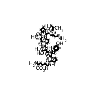 C[C@H](N)C(=O)N[C@@H](CCCCN)C(=O)N1CCC[C@H]1C(=O)N[C@@H](CO)C(=O)N1CCC[C@H]1C(=O)N[C@H](C(=O)N[C@@H](Cc1ccc(O)cc1)C(=O)N1CCC[C@H]1C(=O)N[C@@H](CCCCN)C(=O)O)[C@@H](C)O